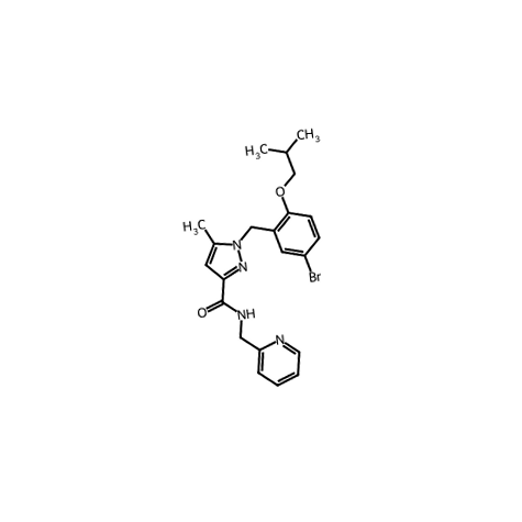 Cc1cc(C(=O)NCc2ccccn2)nn1Cc1cc(Br)ccc1OCC(C)C